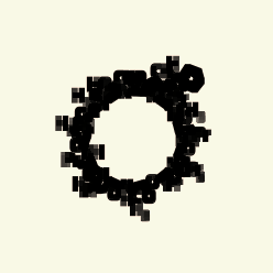 CC(C)C[C@@H]1C(=O)N[C@H](CC(C)C)C(=O)N(C)[C@H](C(C)C)C(=O)N(C)[C@H]([C@H](O)[C@H](C)Cc2nc3ccccc3[nH]2)C(=O)N[C@H]([C@@H](C)O)C(=O)N(C)CC(=O)N(C)[C@@H](CC(C)C)C(=O)N[C@H](CC(C)C)C(=O)N(C)[C@H](CC(C)C)C(=O)N[C@H](C)C(=O)O[C@@H](C(C)C)C(=O)N1C